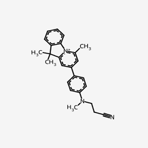 Cc1cc(-c2ccc(N(C)CCC#N)cc2)cc2[n+]1-c1ccccc1C2(C)C